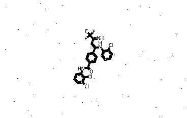 N=C(/C=C(\Nc1ccccc1Cl)c1ccc(C(=O)Nc2cccc(Cl)c2Cl)cc1)C(F)(F)F